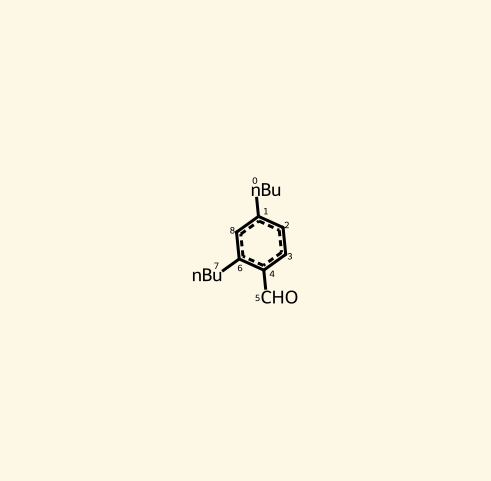 CCCCc1ccc(C=O)c(CCCC)c1